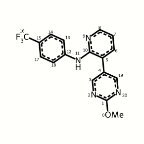 COc1ncc(-c2cccnc2Nc2ccc(C(F)(F)F)cc2)cn1